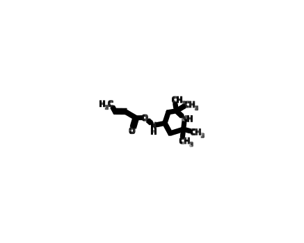 CC=CC(=O)ONC1CC(C)(C)NC(C)(C)C1